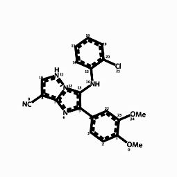 COc1ccc(-c2nc3c(C#N)c[nH]n3c2Nc2ccccc2Cl)cc1OC